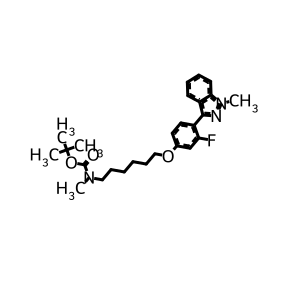 CN(CCCCCCOc1ccc(-c2nn(C)c3ccccc23)c(F)c1)C(=O)OC(C)(C)C